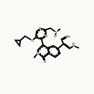 CN/C=C(\C=N)c1ccc2c(=O)n(C)cc(-c3nc(C[S+](C)[O-])ncc3OCC3CC3)c2c1